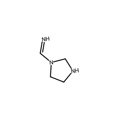 N=CN1CCNC1